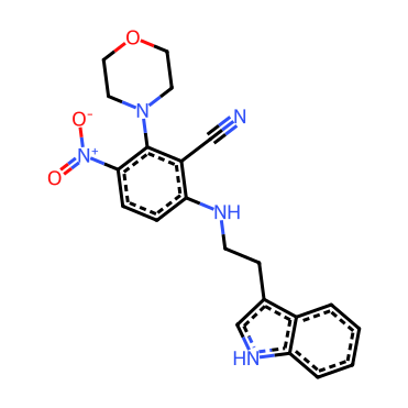 N#Cc1c(NCCc2c[nH]c3ccccc23)ccc([N+](=O)[O-])c1N1CCOCC1